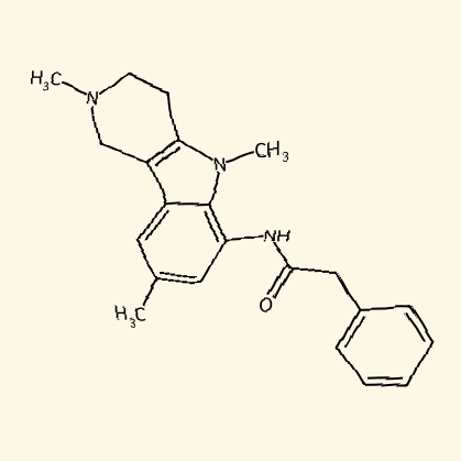 Cc1cc(NC(=O)Cc2ccccc2)c2c(c1)c1c(n2C)CCN(C)C1